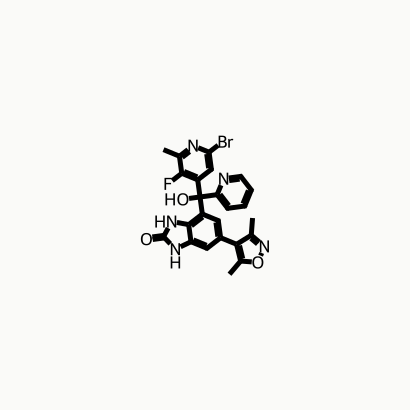 Cc1nc(Br)cc(C(O)(c2ccccn2)c2cc(-c3c(C)noc3C)cc3[nH]c(=O)[nH]c23)c1F